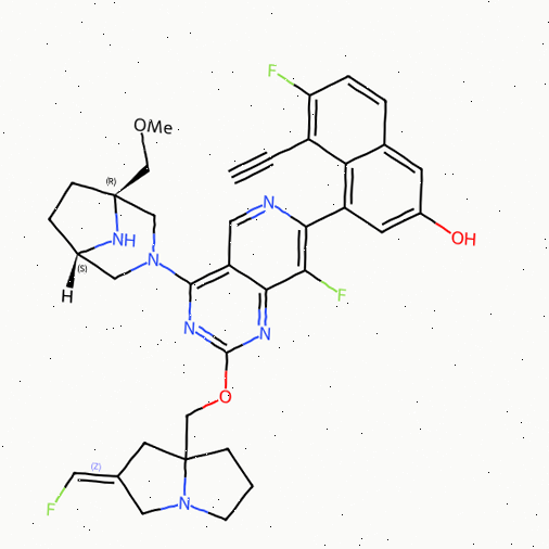 C#Cc1c(F)ccc2cc(O)cc(-c3ncc4c(N5C[C@@H]6CC[C@](COC)(C5)N6)nc(OCC56CCCN5C/C(=C\F)C6)nc4c3F)c12